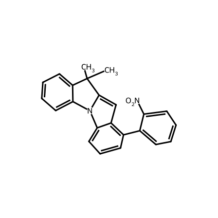 CC1(C)c2ccccc2-n2c1cc1c(-c3ccccc3[N+](=O)[O-])cccc12